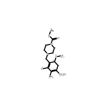 CCOC(=O)C1=C(N)C(Cl)=C(CN2CCN(C(=O)OC(C)(C)C)CC2)C(OC(F)(F)F)C1